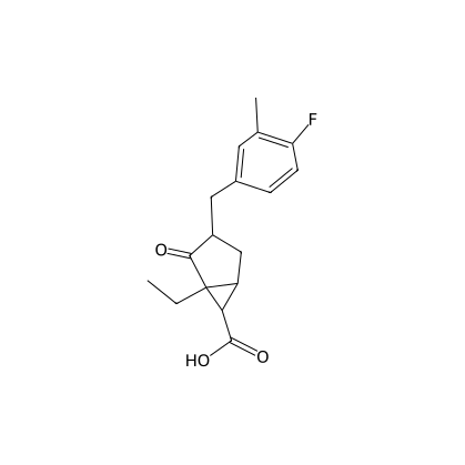 CCC12C(=O)C(Cc3ccc(F)c(C)c3)CC1C2C(=O)O